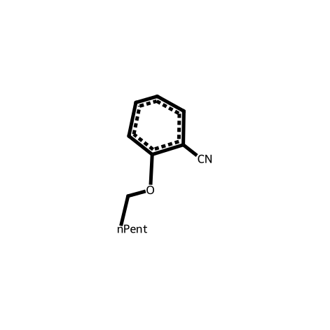 CCCCCCOc1ccccc1C#N